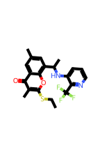 CCSc1oc2c(C(C)Nc3cccnc3C(F)(F)F)cc(C)cc2c(=O)c1C